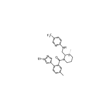 CCn1cc(-c2ccc(C)cc2C(=O)N2CCC[C@@H](C)C2CNc2ccc(C(F)(F)F)cn2)cn1